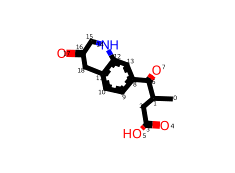 CC(CC(=O)O)C(=O)c1ccc2c(c1)NCC(=O)C2